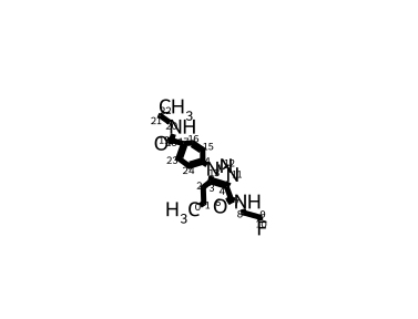 CCCc1c(C(=O)NCCF)nnn1-c1ccc(C(=O)NCC)cc1